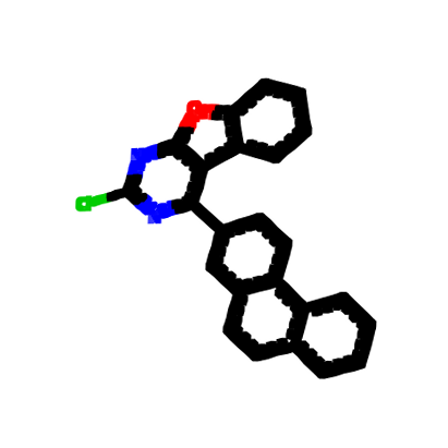 Clc1nc(-c2ccc3c(ccc4ccccc43)c2)c2c(n1)oc1ccccc12